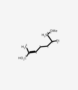 CCC(CC/C=C(\C)C(=O)O)[SiH2]OC